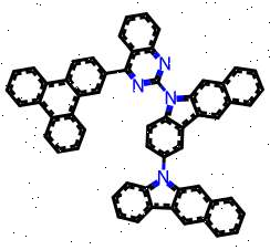 c1ccc2cc3c(cc2c1)c1ccccc1n3-c1ccc2c(c1)c1cc3ccccc3cc1n2-c1nc(-c2ccc3c4ccccc4c4ccccc4c3c2)c2ccccc2n1